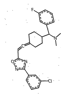 CN(C)C(c1cccc(F)c1)C1CCC(=C=Cc2nc(-c3cccc(Cl)c3)no2)CC1